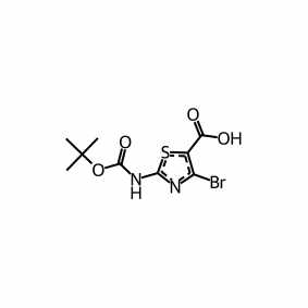 CC(C)(C)OC(=O)Nc1nc(Br)c(C(=O)O)s1